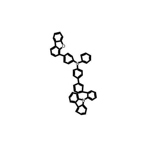 c1ccc(N(c2ccc(-c3cccc(-c4ccccc4-n4c5ccccc5c5ccccc54)c3)cc2)c2ccc(-c3cccc4c3oc3ccccc34)cc2)cc1